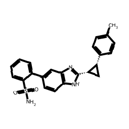 Cc1ccc([C@@H]2C[C@@H]2c2nc3cc(-c4ccccc4S(N)(=O)=O)ccc3[nH]2)cc1